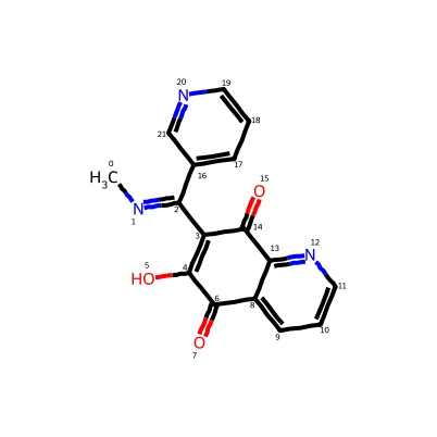 CN=C(C1=C(O)C(=O)c2cccnc2C1=O)c1cccnc1